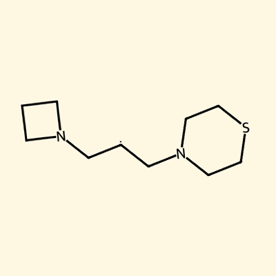 [CH](CN1CCC1)CN1CCSCC1